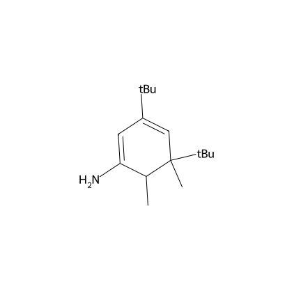 CC1C(N)=CC(C(C)(C)C)=CC1(C)C(C)(C)C